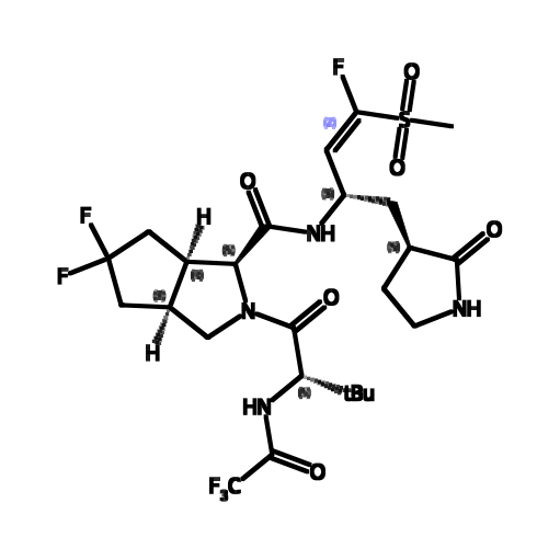 CC(C)(C)[C@H](NC(=O)C(F)(F)F)C(=O)N1C[C@H]2CC(F)(F)C[C@H]2[C@H]1C(=O)N[C@H](/C=C(/F)S(C)(=O)=O)C[C@@H]1CCNC1=O